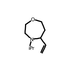 C=CC1CCOCCN1C(C)C